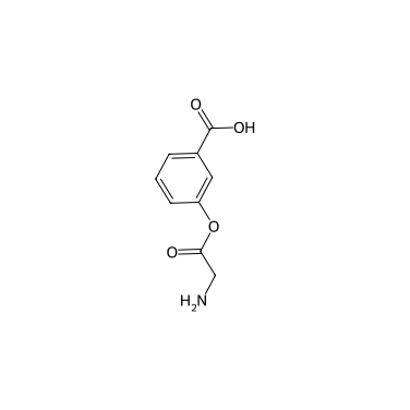 NCC(=O)Oc1cccc(C(=O)O)c1